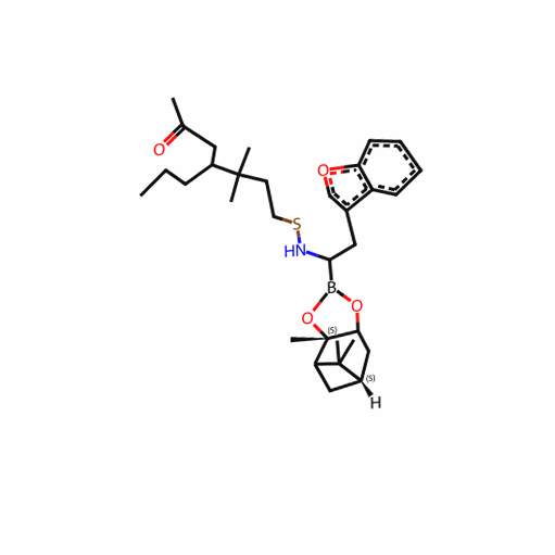 CCCC(CC(C)=O)C(C)(C)CCSNC(Cc1coc2ccccc12)B1OC2C[C@@H]3CC(C3(C)C)[C@]2(C)O1